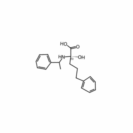 CC(N[C@](O)(CCCc1ccccc1)C(=O)O)c1ccccc1